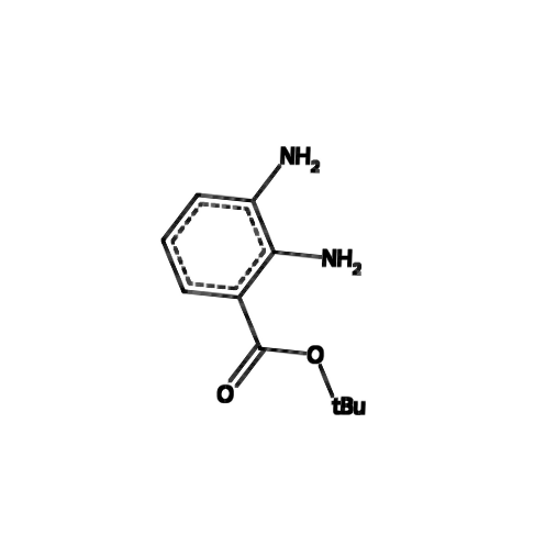 CC(C)(C)OC(=O)c1cccc(N)c1N